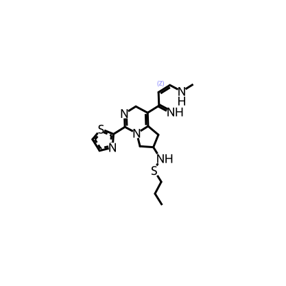 CCCSNC1CC2=C(C(=N)/C=C\NC)CN=C(c3nccs3)N2C1